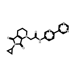 O=C(CN1CCCC2=C1C(=O)N(C1CC1)C2=O)Nc1ccc(-c2cncnc2)nc1